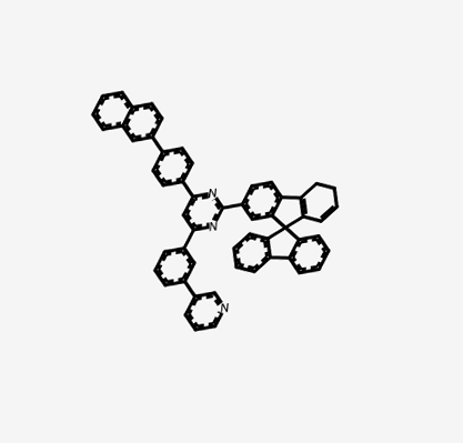 C1=CC2=C(CC1)c1ccc(-c3nc(-c4ccc(-c5ccc6ccccc6c5)cc4)cc(-c4cccc(-c5cccnc5)c4)n3)cc1C21c2ccccc2-c2ccccc21